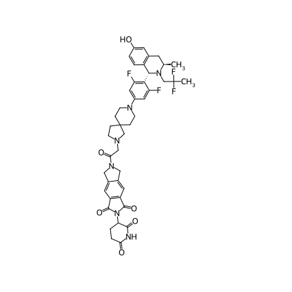 C[C@@H]1Cc2cc(O)ccc2[C@@H](c2c(F)cc(N3CCC4(CCN(CC(=O)N5Cc6cc7c(cc6C5)C(=O)N(C5CCC(=O)NC5=O)C7=O)C4)CC3)cc2F)N1CC(C)(F)F